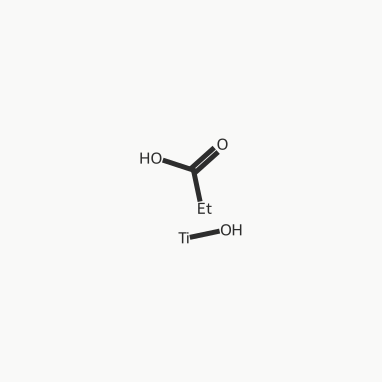 CCC(=O)O.[OH][Ti]